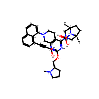 CN1CCCC1COc1nc2c(c(N3C[C@H]4CC[C@@H](C3)N4C(=O)O)n1)CCN(c1cccc3cccc(C#CCO)c13)C2